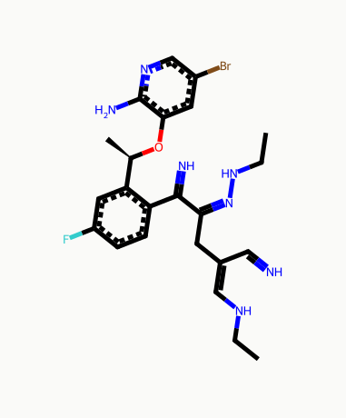 CCN/C=C(\C=N)C/C(=N/NCC)C(=N)c1ccc(F)cc1[C@@H](C)Oc1cc(Br)cnc1N